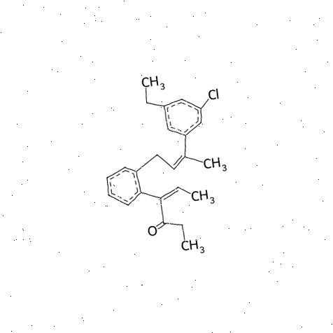 C/C=C(\C(=O)CC)c1ccccc1C/C=C(/C)c1cc(Cl)cc(CC)c1